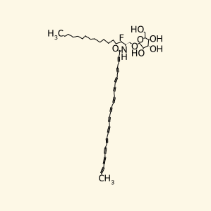 CC#CC#CC#CC#CC#CC#CC#CC#CC#CC#CC#CC#CC(=O)N[C@@H](CO[C@H]1OC(CO)[C@H](O)[C@H](O)C1O)[C@H](F)CCCCCCCCCCCCCC